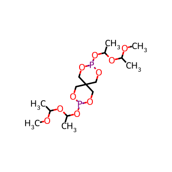 COC(C)OC(C)OP1OCC2(CO1)COP(OC(C)OC(C)OC)OC2